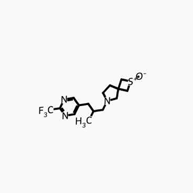 CC(Cc1cnc(C(F)(F)F)nc1)CN1CCC2(C1)C[S+]([O-])C2